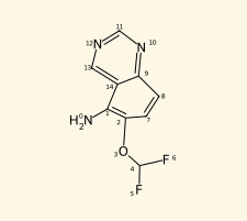 Nc1c(OC(F)F)ccc2ncncc12